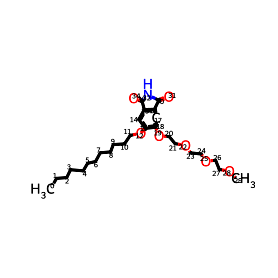 CCCCCCCCCCCCOc1cc2c(cc1OCCOCCOCCOC)C(=O)NC2=O